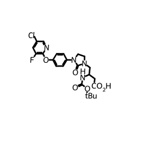 CC(C)(C)OC(=O)NC(CC(=O)O)CN1CCN(c2ccc(Oc3ncc(Cl)cc3F)cc2)C1=O